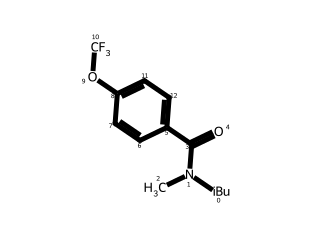 CCC(C)N(C)C(=O)c1ccc(OC(F)(F)F)cc1